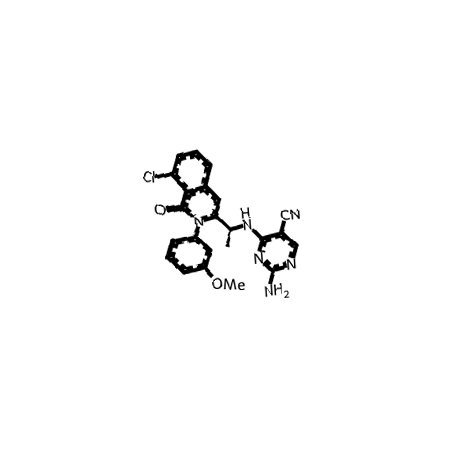 COc1cccc(-n2c([C@H](C)Nc3nc(N)ncc3C#N)cc3cccc(Cl)c3c2=O)c1